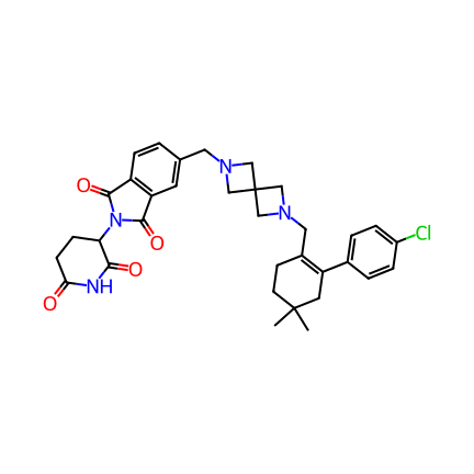 CC1(C)CCC(CN2CC3(C2)CN(Cc2ccc4c(c2)C(=O)N(C2CCC(=O)NC2=O)C4=O)C3)=C(c2ccc(Cl)cc2)C1